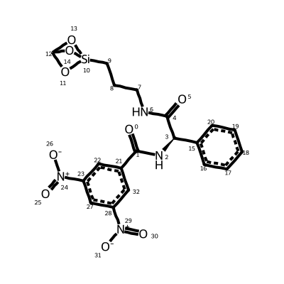 O=C(N[C@@H](C(=O)NCCC[Si]12OC(O1)O2)c1ccccc1)c1cc([N+](=O)[O-])cc([N+](=O)[O-])c1